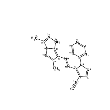 [C-]#[N+]c1cnn(-c2ncncn2)c1/N=N/c1c(C)nn2c(C)n[nH]c12